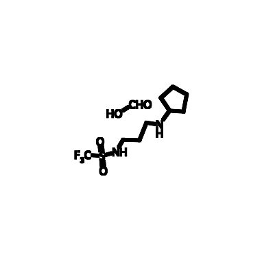 O=CO.O=S(=O)(NCCCNC1CCCC1)C(F)(F)F